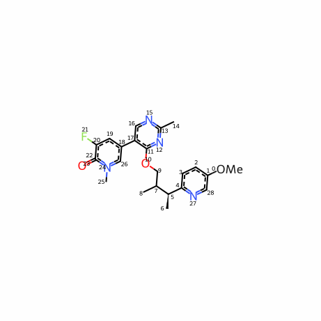 COc1ccc([C@@H](C)C(C)COc2nc(C)ncc2-c2cc(F)c(=O)n(C)c2)nc1